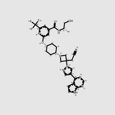 C[C@@H](CO)NC(=O)c1cc(O[C@H]2CC[C@@H](N3CC(CC#N)(n4cc(-c5ncnc6[nH]ccc56)cn4)C3)CC2)nc(C(F)(F)F)c1